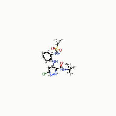 [2H]C([2H])([2H])NC(=O)c1nnc(Cl)cc1Nc1ccccc1NS(=O)(=O)C1CC1